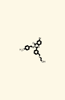 Cc1ccc(C=Nn2c(-c3cccc(CSCCO)c3)nc3ccc(Br)cc3c2=O)cc1